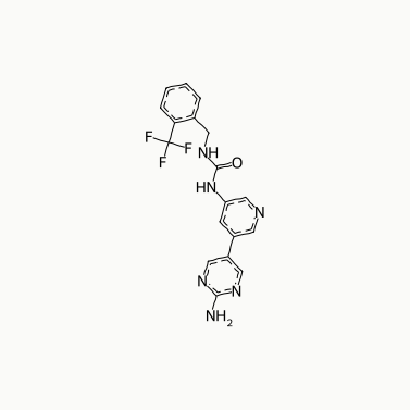 Nc1ncc(-c2cncc(NC(=O)NCc3ccccc3C(F)(F)F)c2)cn1